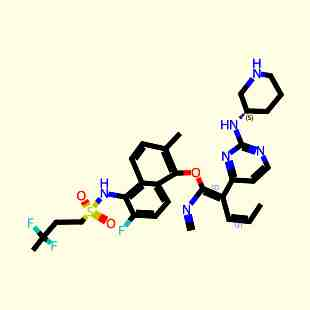 C=N/C(Oc1c(C)ccc2c(NS(=O)(=O)CCC(C)(F)F)c(F)ccc12)=C(\C=C/C)c1ccnc(N[C@H]2CCCNC2)n1